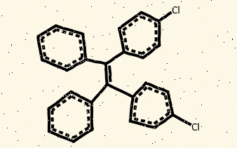 Clc1ccc(C(=C(c2ccccc2)c2ccc(Cl)cc2)c2ccccc2)cc1